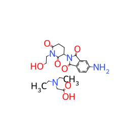 CCN(CC)CC(=O)O.Nc1ccc2c(c1)C(=O)N(C1CCC(=O)N(CCO)C1=O)C2=O